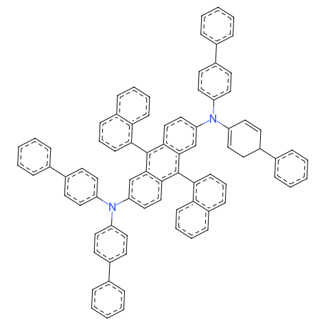 C1=CC(c2ccccc2)CC=C1N(c1ccc(-c2ccccc2)cc1)c1ccc2c(-c3cccc4ccccc34)c3cc(N(c4ccc(-c5ccccc5)cc4)c4ccc(-c5ccccc5)cc4)ccc3c(-c3cccc4ccccc34)c2c1